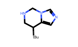 CC(C)(C)C1CNCn2cncc21